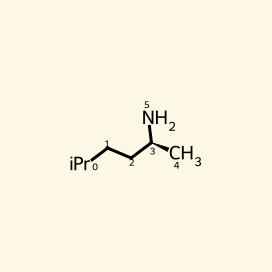 CC(C)CC[C@H](C)N